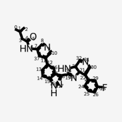 CC(C)CC(=O)Nc1cncc(-c2ccc3[nH]nc(C4=NC5C(c6cccc(F)c6)=CN=CC5N4)c3c2)c1